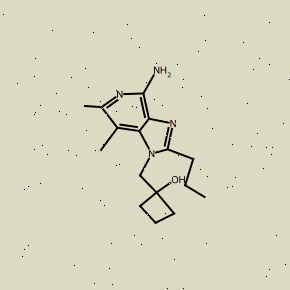 CCCc1nc2c(N)nc(C)c(C)c2n1CC1(O)CCC1